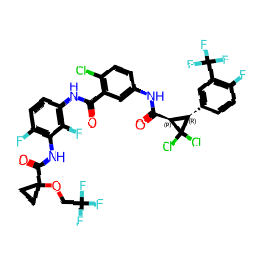 O=C(Nc1ccc(F)c(NC(=O)C2(OCC(F)(F)F)CC2)c1F)c1cc(NC(=O)[C@H]2[C@H](c3ccc(F)c(C(F)(F)F)c3)C2(Cl)Cl)ccc1Cl